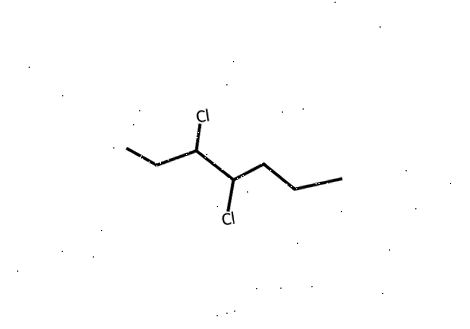 CCCC(Cl)C(Cl)CC